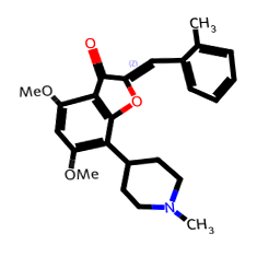 COc1cc(OC)c(C2CCN(C)CC2)c2c1C(=O)/C(=C/c1ccccc1C)O2